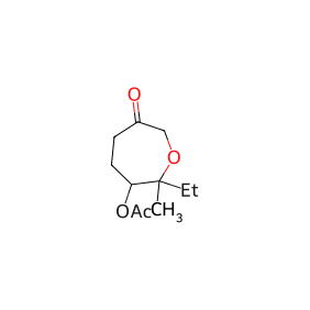 CCC1(C)OCC(=O)CCC1OC(C)=O